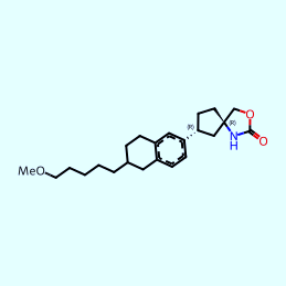 COCCCCCC1CCc2cc([C@@H]3CC[C@]4(COC(=O)N4)C3)ccc2C1